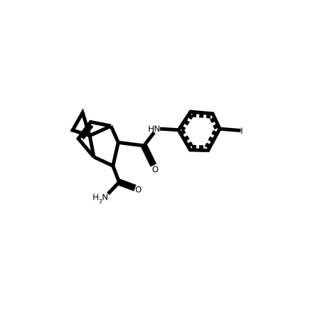 NC(=O)C1C(C(=O)Nc2ccc(I)cc2)C2C=CC1C21CC1